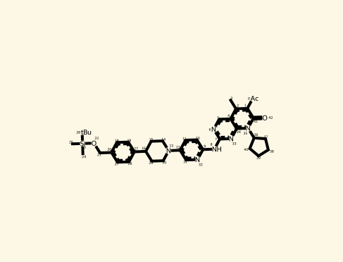 CC(=O)c1c(C)c2cnc(Nc3ccc(N4CCC(c5ccc(CO[Si](C)(C)C(C)(C)C)cc5)CC4)cn3)nc2n(C2CCCC2)c1=O